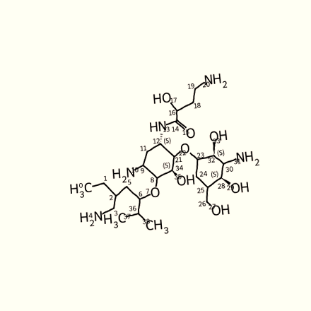 CCC(CN)CC(OC1C(N)C[C@H](NC(=O)C(O)CCN)C(OC2CC(CO)[C@H](O)C(N)[C@@H]2O)[C@H]1O)C(C)C